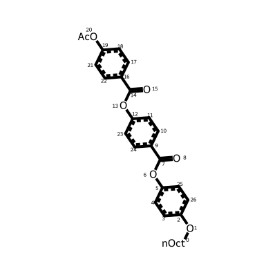 CCCCCCCCOc1ccc(OC(=O)c2ccc(OC(=O)c3ccc(OC(C)=O)cc3)cc2)cc1